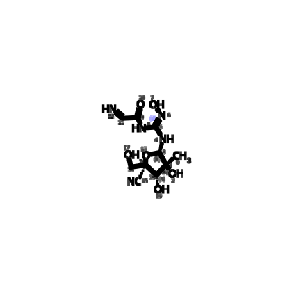 C[C@]1(O)[C@H](N/C(=N/O)NC(=O)C=N)O[C@](C#N)(CO)[C@H]1O